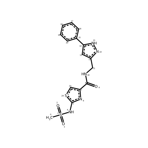 CS(=O)(=O)Nc1nc(C(=O)NCc2cc(-c3ccccc3)[nH]n2)cs1